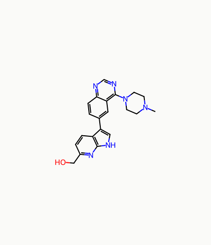 CN1CCN(c2ncnc3ccc(-c4c[nH]c5nc(CO)ccc45)cc23)CC1